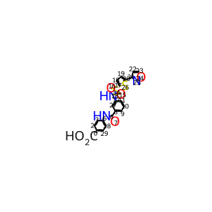 O=C(O)c1ccc(NC(=O)c2cccc(NS(=O)(=O)c3ccc(-c4ccon4)s3)c2)cc1